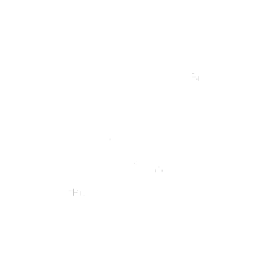 CC(C)(C)C1CSC(c2ccc(Br)cc2)[S+]([O-])C1